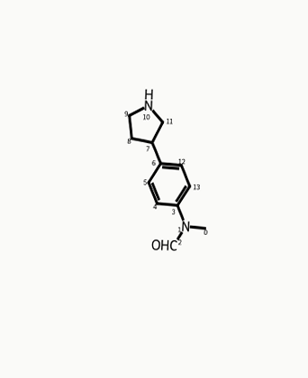 CN(C=O)c1ccc(C2CCNC2)cc1